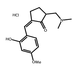 COc1ccc(C=C2CCC(CN(C)C)C2=O)c(O)c1.Cl